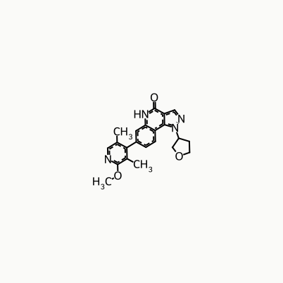 COc1ncc(C)c(-c2ccc3c(c2)[nH]c(=O)c2cnn(C4CCOC4)c23)c1C